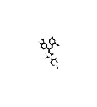 CCN1CCC(N2C(=O)S/C(=C(/Cc3ccc(Cl)cc3C(F)(F)F)c3ccc4[nH]ncc4c3)C2=O)C(F)C1